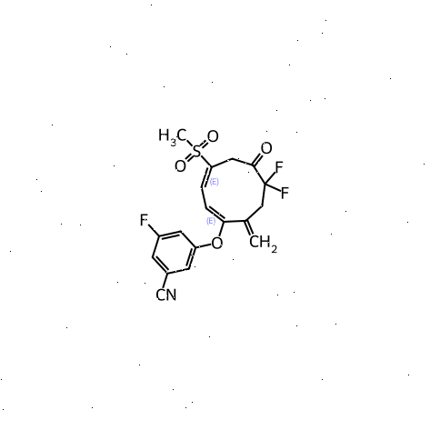 C=C1CC(F)(F)C(=O)C/C(S(C)(=O)=O)=C\C=C/1Oc1cc(F)cc(C#N)c1